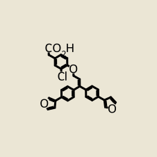 O=C(O)Cc1ccc(OCC=C(c2ccc(-c3ccoc3)cc2)c2ccc(-c3ccoc3)cc2)c(Cl)c1